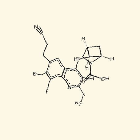 CSc1nc2c(F)c(Br)c(CCC#N)cc2c(N[C@H]2[C@@H]3C[C@H]2N(C(=O)O)C3)c1I